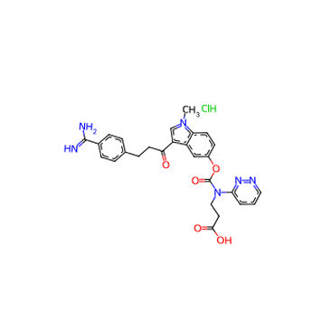 Cl.Cn1cc(C(=O)CCc2ccc(C(=N)N)cc2)c2cc(OC(=O)N(CCC(=O)O)c3cccnn3)ccc21